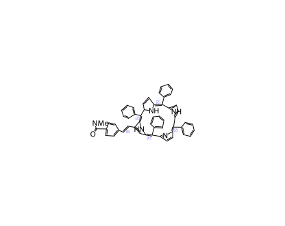 CNC(=O)c1ccc(/C=C/c2c/c3[nH]/c2=C(/c2ccccc2)C2C=C/C(=C(\c4ccccc4)c4ccc([nH]4)/C(c4ccccc4)=C4/C=CC(=N4)/C=3c3ccccc3)N2)cc1